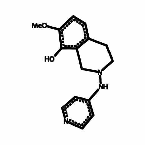 COc1ccc2c(c1O)CN(Nc1ccncc1)CC2